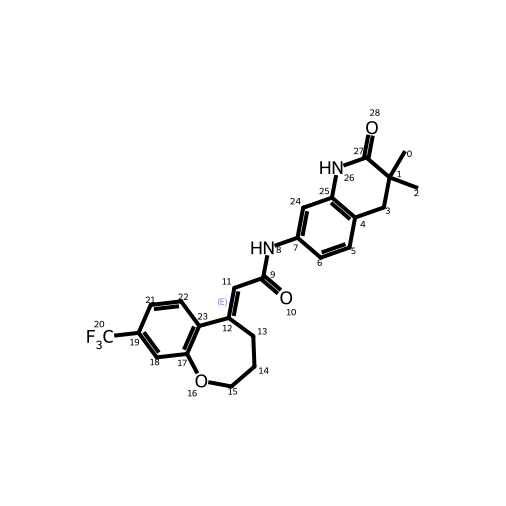 CC1(C)Cc2ccc(NC(=O)/C=C3\CCCOc4cc(C(F)(F)F)ccc43)cc2NC1=O